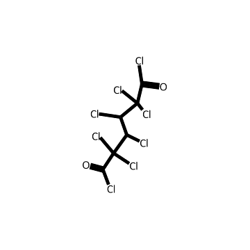 O=C(Cl)C(Cl)(Cl)C(Cl)C(Cl)C(Cl)(Cl)C(=O)Cl